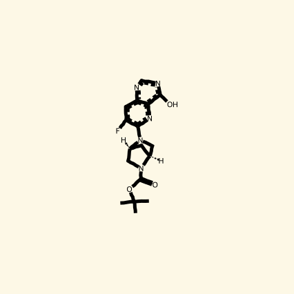 CC(C)(C)OC(=O)N1C[C@@H]2C[C@H]1CN2c1nc2c(O)ncnc2cc1F